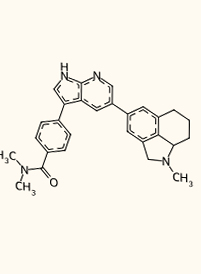 CN(C)C(=O)c1ccc(-c2c[nH]c3ncc(-c4cc5c6c(c4)CN(C)C6CCC5)cc23)cc1